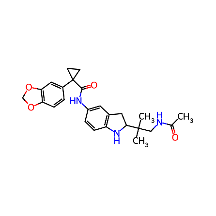 CC(=O)NCC(C)(C)C1Cc2cc(NC(=O)C3(c4ccc5c(c4)OCO5)CC3)ccc2N1